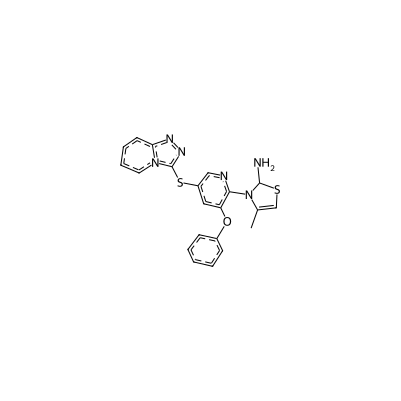 CC1=CSC(N)N1c1ncc(Sc2nnc3ccccn23)cc1Oc1ccccc1